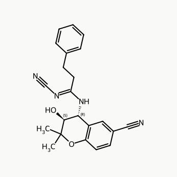 CC1(C)Oc2ccc(C#N)cc2[C@@H](NC(CCc2ccccc2)=NC#N)[C@@H]1O